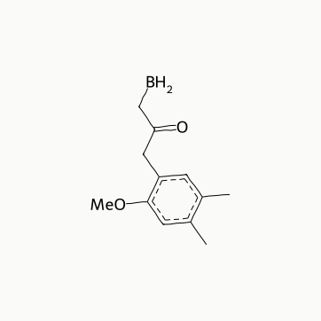 BCC(=O)Cc1cc(C)c(C)cc1OC